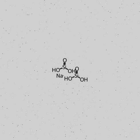 O=[Si](O)O.O=[Si](O)O.[Na]